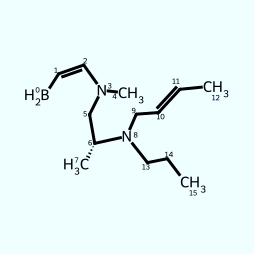 B/C=C\N(C)C[C@@H](C)N(CC=CC)CCC